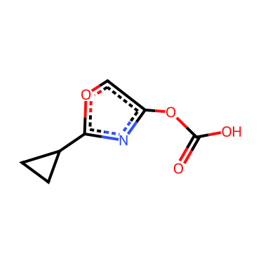 O=C(O)Oc1coc(C2CC2)n1